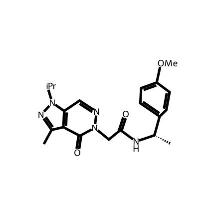 COc1ccc([C@H](C)NC(=O)Cn2ncc3c(c(C)nn3C(C)C)c2=O)cc1